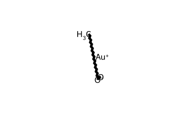 CCCCCCCCCCCCCCCCCCCCCC(=O)[O-].[Au+]